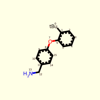 CC(C)(C)c1ccccc1Oc1ccc(CN)cc1